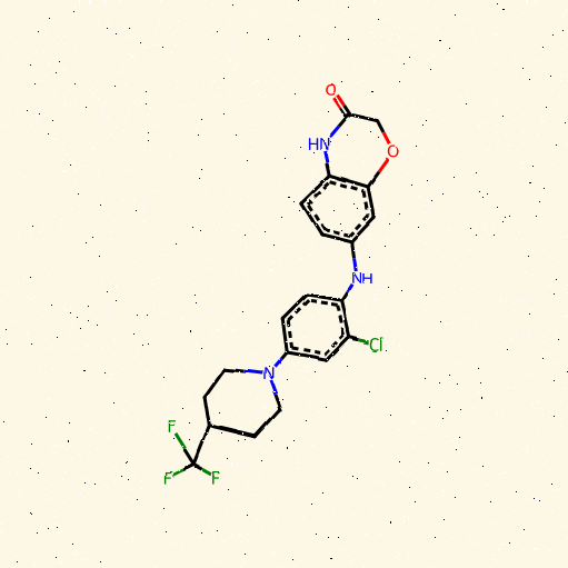 O=C1COc2cc(Nc3ccc(N4CCC(C(F)(F)F)CC4)cc3Cl)ccc2N1